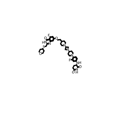 O=C1CCC(Nc2ccc(N3CCC(N4CC(N5CCC(CCOc6cc(F)c7c(=O)[nH]c(CSC8CCOCC8)nc7c6)CC5)C4)CC3)c(F)c2)C(=O)N1